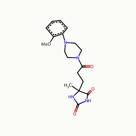 COc1ccccc1N1CCN(C(=O)CCC2(C)NC(=O)NC2=O)CC1